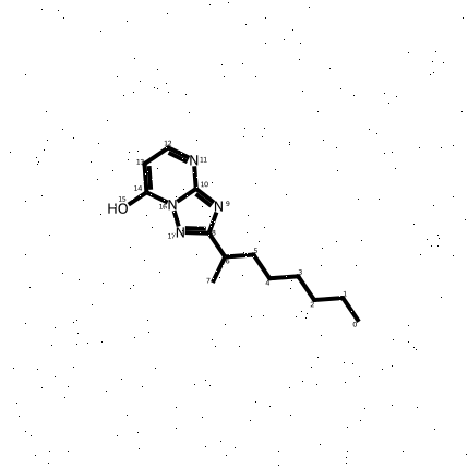 CCCCCCC(C)c1nc2nccc(O)n2n1